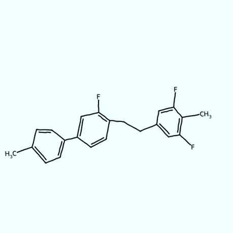 Cc1ccc(-c2ccc(CCc3cc(F)c(C)c(F)c3)c(F)c2)cc1